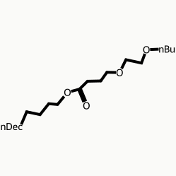 CCCCCCCCCCCCCCOC(=O)CCCOCCOCCCC